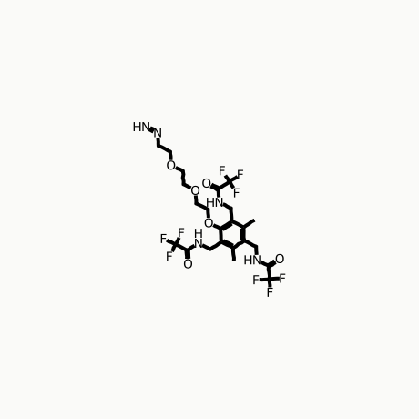 Cc1c(CNC(=O)C(F)(F)F)c(C)c(CNC(=O)C(F)(F)F)c(OCCOCCOCCN=N)c1CNC(=O)C(F)(F)F